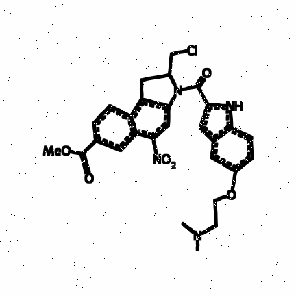 COC(=O)c1ccc2c3c(cc([N+](=O)[O-])c2c1)N(C(=O)c1cc2cc(OCCN(C)C)ccc2[nH]1)C(CCl)C3